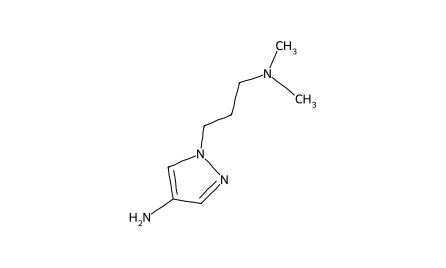 CN(C)CCCn1cc(N)cn1